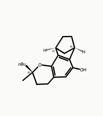 CCCC[C@]1(C)CCc2cc(O)c3c(c2O1)[C@H]1CC[C@@H]3C1